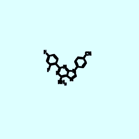 N#Cc1ccc(-n2cnc3c(N)nc(-c4ccc(F)cc4F)nc32)cc1